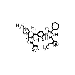 CCc1nocc1C(=O)N[C@H](C(=O)Nc1ccc([C@H](C)[C@@H](NC(=O)c2cnns2)C(=O)N2CCN(C)CC2)cc1F)C1CCCCCC1